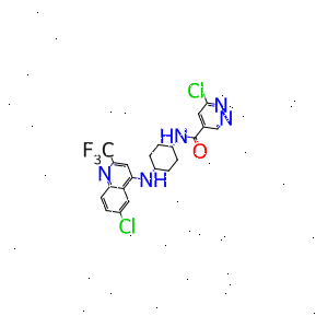 O=C(N[C@H]1CC[C@@H](Nc2cc(C(F)(F)F)nc3ccc(Cl)cc23)CC1)c1cnnc(Cl)c1